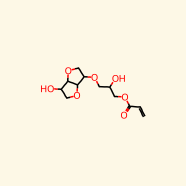 C=CC(=O)OCC(O)COC1COC2C(O)COC12